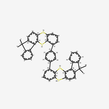 CC1(C)c2ccccc2-c2c1ccc1c2Sc2c(cccc2-c2ccc(-c3cccc4c3Sc3c(ccc5c3-c3ccccc3C5(C)C)S4)cc2)S1